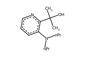 CCCN(CCC)c1cccnc1C(C)(C)O